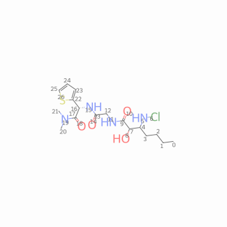 CCCCC(NCl)C(O)C(=O)NCC(=O)N[C@H](C(=O)N(C)C)c1cccs1